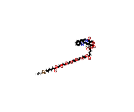 CCCSSCCCCCC(=O)OCCOCCOCCOCCOCCOCCOC(=O)CCCC(=O)OC1(CC)C(=O)OCc2c1cc1n(c2=O)Cc2cc3ccccc3nc2-1